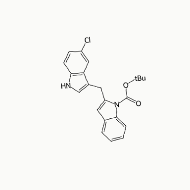 CC(C)(C)OC(=O)n1c(Cc2c[nH]c3ccc(Cl)cc23)cc2ccccc21